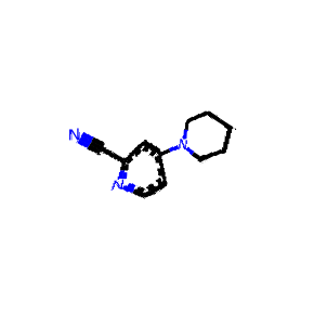 N#Cc1cc(N2CC[CH]CC2)ccn1